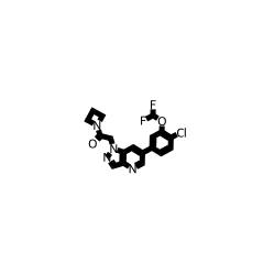 O=C(Cn1ncc2ncc(-c3ccc(Cl)c(OC(F)F)c3)cc21)N1CCC1